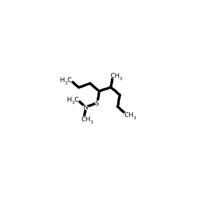 CCCC(C)C(CCC)SN(C)C